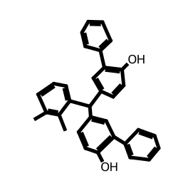 Cc1cccc(C(c2ccc(O)c(-c3ccccc3)c2)c2ccc(O)c(-c3ccccc3)c2)c1C